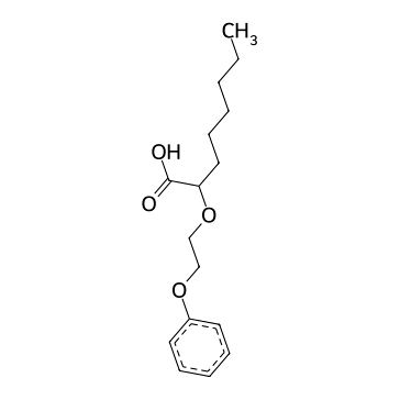 CCCCCCC(OCCOc1ccccc1)C(=O)O